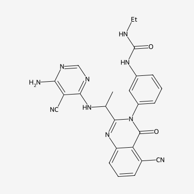 CCNC(=O)Nc1cccc(-n2c(C(C)Nc3ncnc(N)c3C#N)nc3cccc(C#N)c3c2=O)c1